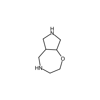 C1COC2CNCC2CN1